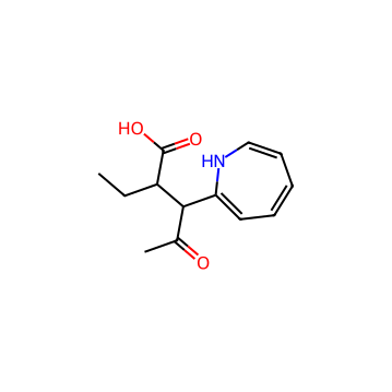 CCC(C(=O)O)C(C(C)=O)C1=CC=CC=CN1